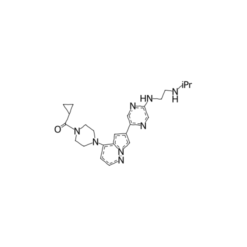 CC(C)NCCNc1cnc(-c2cc3c(N4CCN(C(=O)C5CC5)CC4)ccnn3c2)cn1